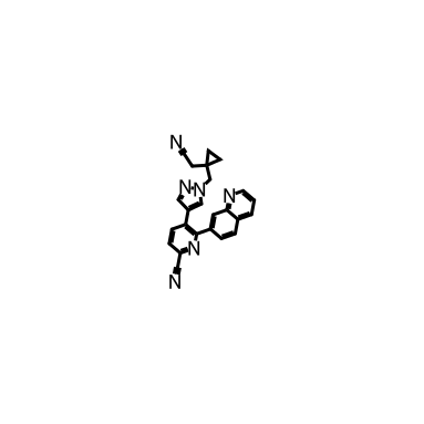 N#CCC1(Cn2cc(-c3ccc(C#N)nc3-c3ccc4cccnc4c3)cn2)CC1